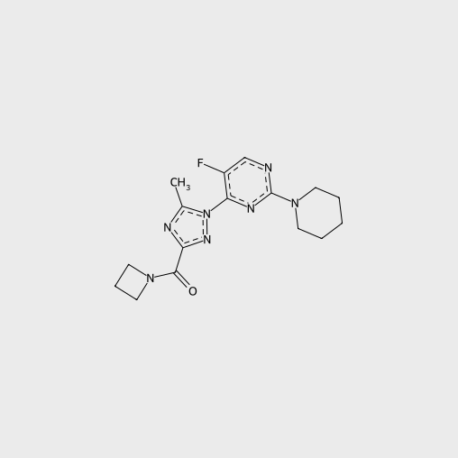 Cc1nc(C(=O)N2CCC2)nn1-c1nc(N2CCCCC2)ncc1F